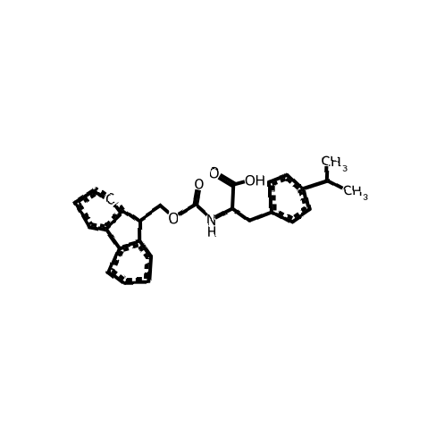 CC(C)c1ccc(CC(NC(=O)OCC2c3ccccc3-c3ccccc32)C(=O)O)cc1